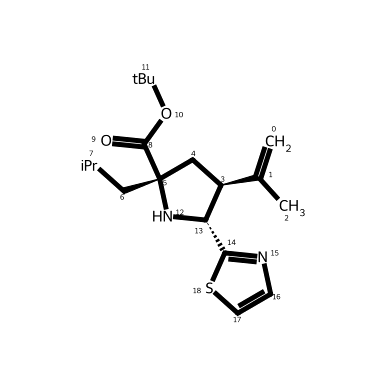 C=C(C)[C@@H]1C[C@@](CC(C)C)(C(=O)OC(C)(C)C)N[C@H]1c1nccs1